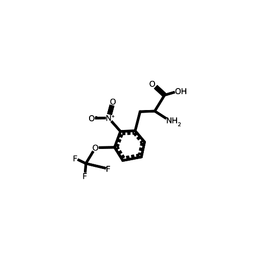 NC(Cc1cccc(OC(F)(F)F)c1[N+](=O)[O-])C(=O)O